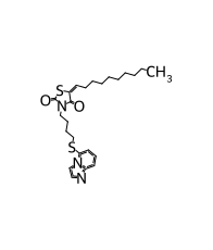 CCCCCCCCC/C=C1/SC(=O)N(CCCCSc2cccc3nccn23)C1=O